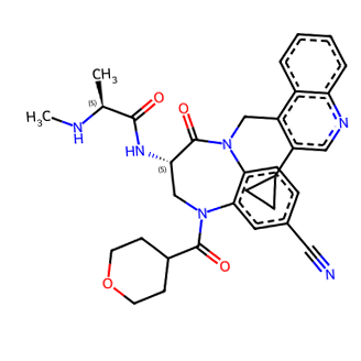 CN[C@@H](C)C(=O)N[C@H]1CN(C(=O)C2CCOCC2)c2cc(C#N)ccc2N(Cc2c(C3CC3)cnc3ccccc23)C1=O